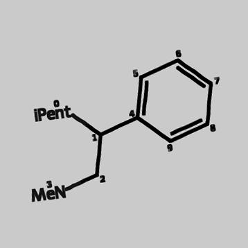 CCCC(C)C(CNC)c1ccccc1